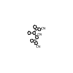 N#Cc1ccc2c(c1)c1ccccc1n2-c1cc(-c2ccccc2)cc(-c2cc(-n3c4ccccc4c4cc(C#N)ccc43)ccc2C#N)c1